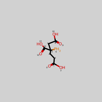 O=C(O)CCC(P)(CC(=O)O)C(=O)O